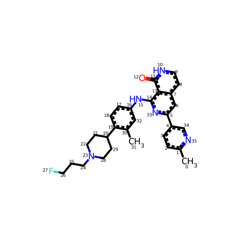 Cc1ccc(-c2cc3cc[nH]c(=O)c3c(Nc3ccc(C4CCN(CCCF)CC4)c(C)c3)n2)cn1